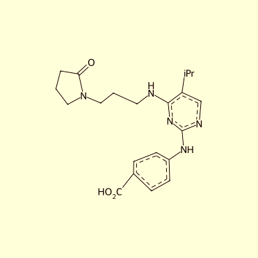 CC(C)c1cnc(Nc2ccc(C(=O)O)cc2)nc1NCCCN1CCCC1=O